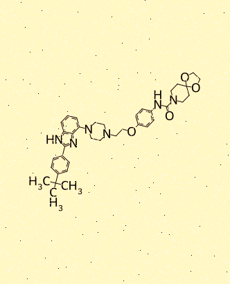 CC(C)(C)c1ccc(-c2nc3c(N4CCN(CCOc5ccc(NC(=O)N6CCC7(CC6)OCCO7)cc5)CC4)cccc3[nH]2)cc1